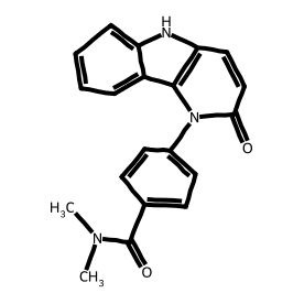 CN(C)C(=O)c1ccc(-n2c(=O)ccc3[nH]c4ccccc4c32)cc1